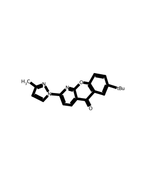 Cc1ccn(-c2ccc3c(=O)c4cc(C(C)(C)C)ccc4oc3n2)n1